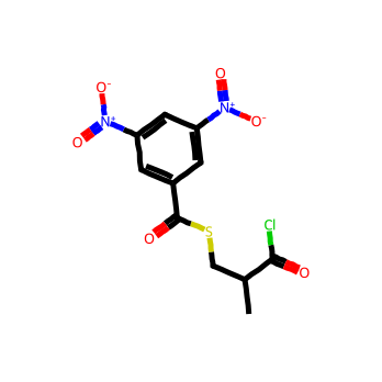 CC(CSC(=O)c1cc([N+](=O)[O-])cc([N+](=O)[O-])c1)C(=O)Cl